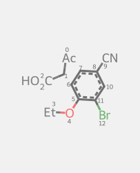 CC(=O)CC(=O)O.CCOc1ccc(C#N)cc1Br